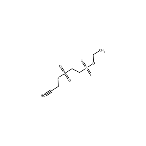 C#CCOS(=O)(=O)CCS(=O)(=O)OCC